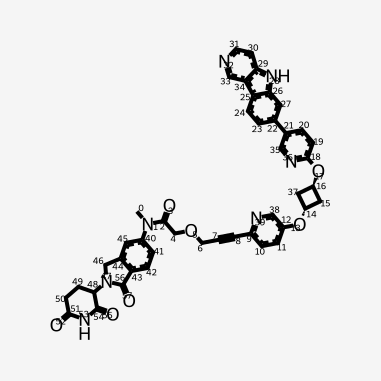 CN(C(=O)COCC#Cc1ccc(O[C@H]2C[C@H](Oc3ccc(-c4ccc5c(c4)[nH]c4ccncc45)cn3)C2)cn1)c1ccc2c(c1)CN(C1CCC(=O)NC1=O)C2=O